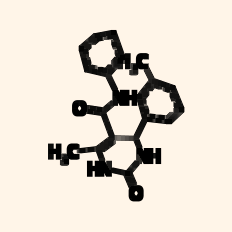 CC1=C(C(=O)Nc2ccccc2)C(c2cccc(C)c2)NC(=O)N1